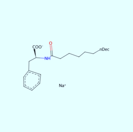 CCCCCCCCCCCCCCCC(=O)N[C@@H](Cc1ccccc1)C(=O)[O-].[Na+]